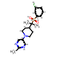 Cc1ncc(N2CCC(C(C)(C)S(=O)(=O)c3cccc(F)c3)CC2)cn1